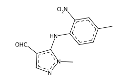 Cc1ccc(Nc2c(C=O)cnn2C)c([N+](=O)[O-])c1